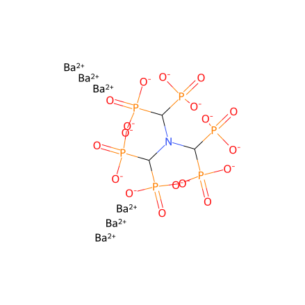 O=P([O-])([O-])C(N(C(P(=O)([O-])[O-])P(=O)([O-])[O-])C(P(=O)([O-])[O-])P(=O)([O-])[O-])P(=O)([O-])[O-].[Ba+2].[Ba+2].[Ba+2].[Ba+2].[Ba+2].[Ba+2]